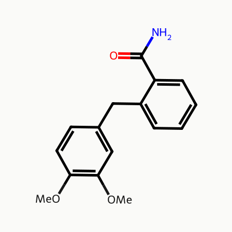 COc1ccc(Cc2ccccc2C(N)=O)cc1OC